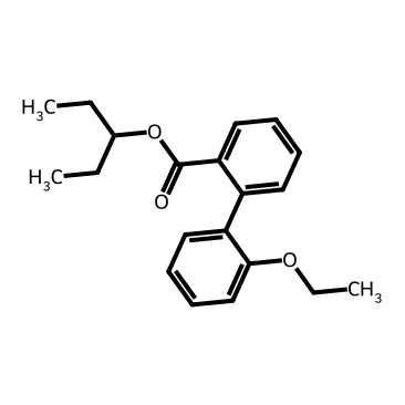 CCOc1ccccc1-c1ccccc1C(=O)OC(CC)CC